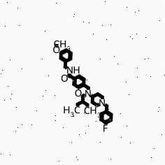 CCC(CC)C(=O)N(Cc1ccc(C(=O)NCc2cccc(OC)c2)cc1)C1CCN(Cc2ccc(F)cc2)CC1